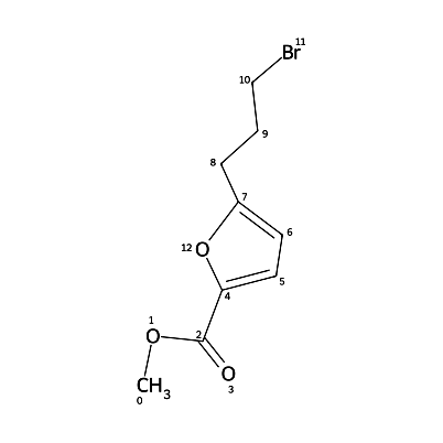 COC(=O)c1ccc(CCCBr)o1